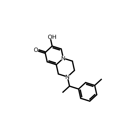 Cc1cccc(C(C)N2CCn3cc(O)c(=O)cc3C2)c1